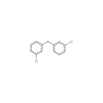 Clc1cccc([C]c2cccc(Cl)c2)c1